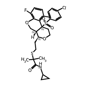 CC(C)(SCC[C@@H]1OCC[C@@]2(S(=O)(=O)c3ccc(Cl)cc3)c3c(F)ccc(F)c3OC[C@@H]12)C(=O)NC1CC1